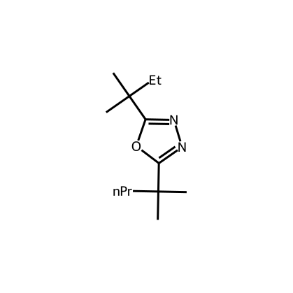 CCCC(C)(C)c1nnc(C(C)(C)CC)o1